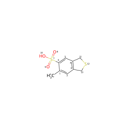 Cc1cc2c(cc1S(=O)(=O)O)CSC2